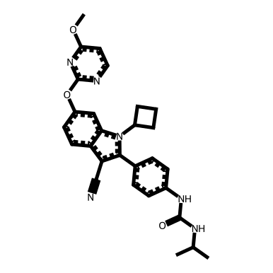 COc1ccnc(Oc2ccc3c(C#N)c(-c4ccc(NC(=O)NC(C)C)cc4)n(C4CCC4)c3c2)n1